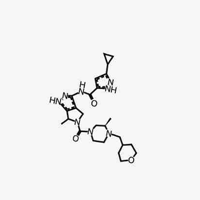 CC1c2[nH]nc(NC(=O)c3cc(C4CC4)n[nH]3)c2CN1C(=O)N1CCN(CC2CCOCC2)[C@H](C)C1